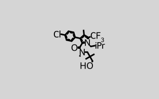 Cc1c(-c2ccc(Cl)cc2)c(C(=O)N(C)CC(C)(C)CO)n(CC(C)C)c1C(F)(F)F